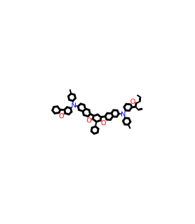 C=Cc1c(/C=C\C)oc2ccc(N(c3ccc(C)cc3)c3ccc4cc5c(cc4c3)oc3c(-c4ccccc4)c4oc6cc7cc(N(c8ccc(C)cc8)c8ccc9oc%10ccccc%10c9c8)ccc7cc6c4cc35)cc12